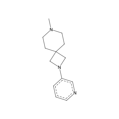 CN1CCC2(CC1)CN(c1cccnc1)C2